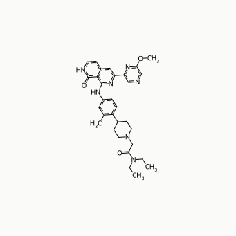 CCN(CC)C(=O)CN1CCC(c2ccc(Nc3nc(-c4cncc(OC)n4)cc4cc[nH]c(=O)c34)cc2C)CC1